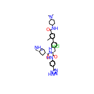 Cc1cc(C(=O)NC2CCC(N(C)C)CC2)ccc1-c1ccc(C[C@H](NC(=O)[C@H]2CC[C@H](CN)CC2)C(=O)Nc2ccc(-c3nn[nH]n3)cc2)cc1.Cl